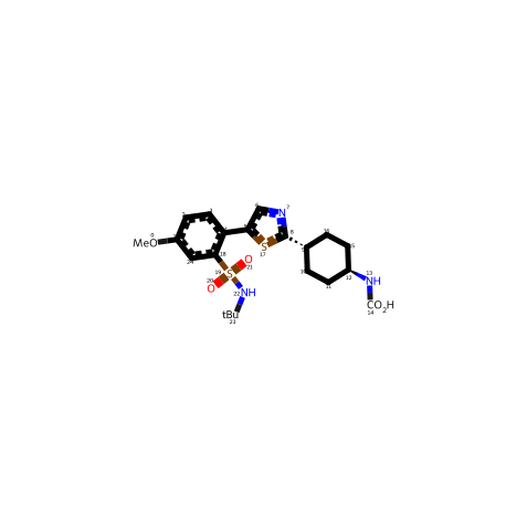 COc1ccc(-c2cnc([C@H]3CC[C@H](NC(=O)O)CC3)s2)c(S(=O)(=O)NC(C)(C)C)c1